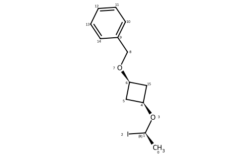 C[C@@H](I)O[C@H]1C[C@@H](OCc2ccccc2)C1